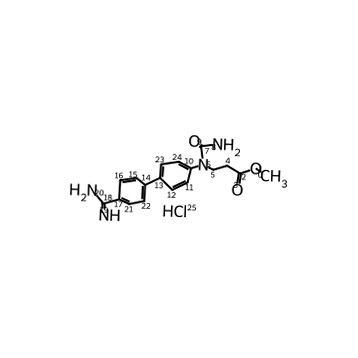 COC(=O)CCN(C(N)=O)c1ccc(-c2ccc(C(=N)N)cc2)cc1.Cl